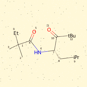 CCC(C)(C)C(=O)N[C@@H](CC(C)C)C(=O)C(C)(C)C